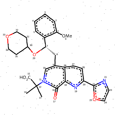 COc1ccccc1[C@H](Cc1cn(C(C)(C)C(=O)O)c(=O)c2nc(-c3ncco3)ccc12)OC1CCOCC1